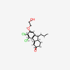 CCCC1c2cc(OCCO)c(Cl)c(Cl)c2C2=CC(=O)CCC21